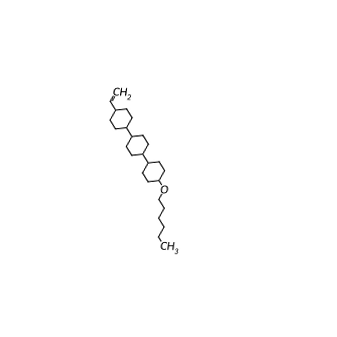 C=CC1CCC(C2CCC(C3CCC(OCCCCCC)CC3)CC2)CC1